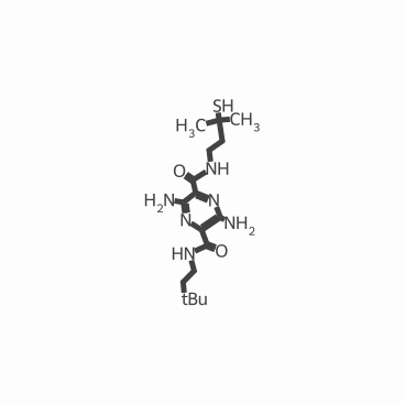 CC(C)(C)CCNC(=O)c1nc(N)c(C(=O)NCCC(C)(C)S)nc1N